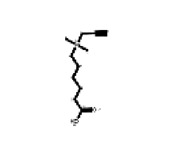 C#CC[N+](C)(C)CCCCCC(=O)O